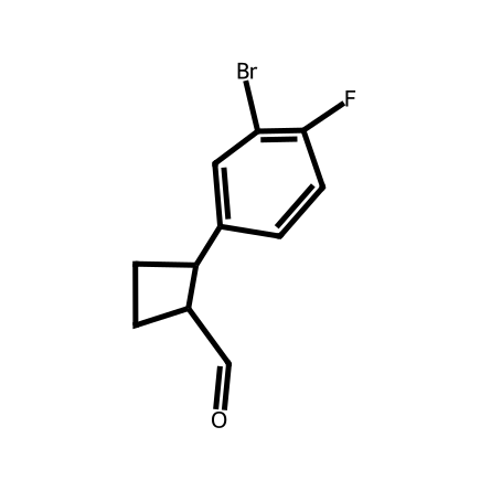 O=CC1CCC1c1ccc(F)c(Br)c1